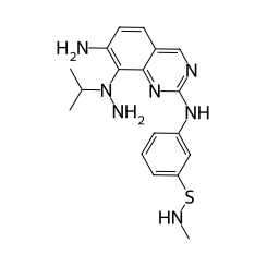 CNSc1cccc(Nc2ncc3ccc(N)c(N(N)C(C)C)c3n2)c1